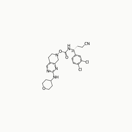 N#CCC[C@@H](NC(=O)ON1CCc2cnc(NC3CCOCC3)nc2C1)c1ccc(Cl)c(Cl)c1